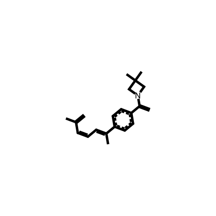 C=C(C)/C=C\C=C(/C)c1ccc(C(=C)N2CC(C)(C)C2)cc1